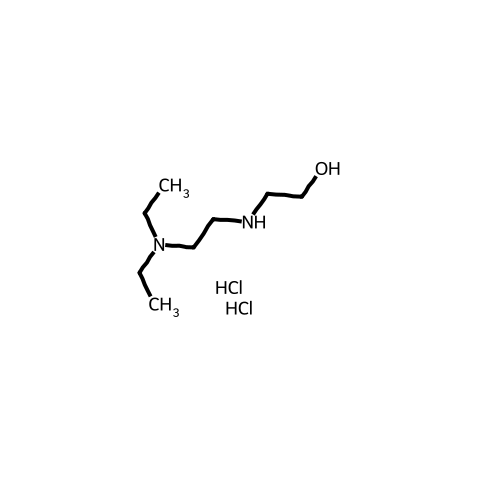 CCN(CC)CCNCCO.Cl.Cl